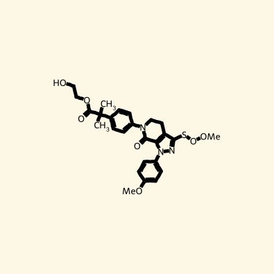 COOSc1nn(-c2ccc(OC)cc2)c2c1CCN(c1ccc(C(C)(C)C(=O)OCCO)cc1)C2=O